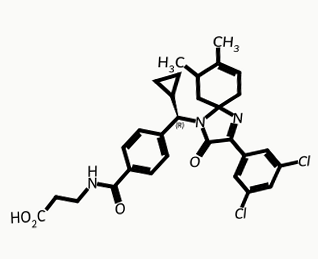 CC1=CCC2(CC1C)N=C(c1cc(Cl)cc(Cl)c1)C(=O)N2[C@@H](c1ccc(C(=O)NCCC(=O)O)cc1)C1CC1